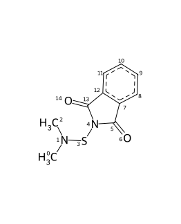 CN(C)SN1C(=O)c2ccccc2C1=O